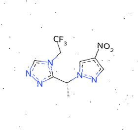 C[C@H](c1nncn1CC(F)(F)F)n1cc([N+](=O)[O-])cn1